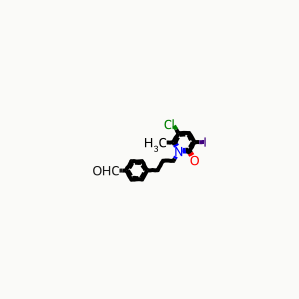 Cc1c(Cl)cc(I)c(=O)n1CCCc1ccc(C=O)cc1